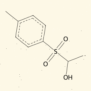 [CH2]C(O)S(=O)(=O)c1ccc(C)cc1